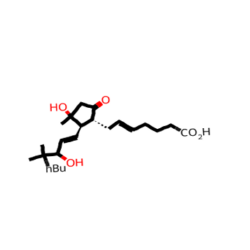 CCCCC(C)(C)C(O)/C=C/[C@@H]1[C@@H](C/C=C/CCCC(=O)O)C(=O)CC1(C)O